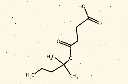 CCCC(C)(C)OC(=O)CCC(=O)O